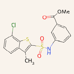 COC(=O)c1cccc(NS(=O)(=O)c2sc3c(Cl)cccc3c2C)c1